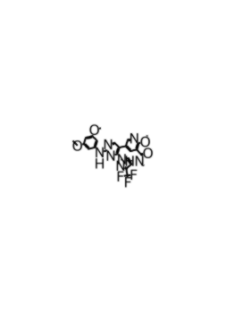 CNC(=O)c1cc(-c2cnc(Nc3cc(OC)cc(OC)c3)nc2-n2ccc(C(F)(F)F)n2)cnc1OC